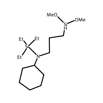 CC[Si](CC)(CC)N(CCC[SiH](OC)OC)C1CCCCC1